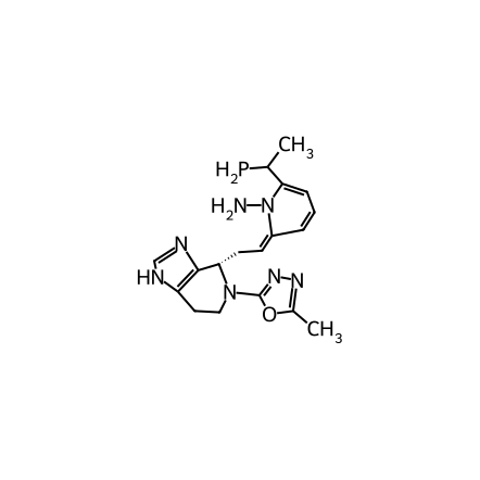 Cc1nnc(N2CCc3[nH]cnc3[C@@H]2C/C=C2/C=CC=C(C(C)P)N2N)o1